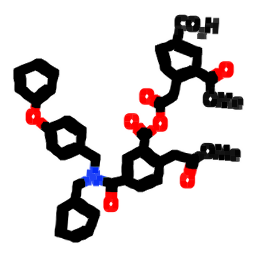 COC(=O)Cc1ccc(C(=O)N(Cc2ccccc2)Cc2ccc(Oc3ccccc3)cc2)cc1C(=O)OC(=O)Cc1ccc(C(=O)O)cc1C(=O)OC